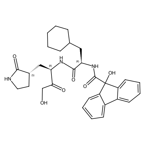 O=C1NCC[C@H]1C[C@@H](NC(=O)[C@@H](CC1CCCCC1)NC(=O)C1(O)c2ccccc2-c2ccccc21)C(=O)CO